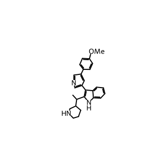 COc1ccc(-c2cncc(-c3c(C(C)C4CCCNC4)[nH]c4ccccc34)c2)cc1